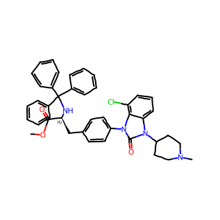 COC(=O)[C@H](Cc1ccc(-n2c(=O)n(C3CCN(C)CC3)c3cccc(Cl)c32)cc1)NC(c1ccccc1)(c1ccccc1)c1ccccc1